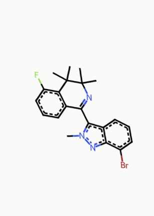 Cn1nc2c(Br)cccc2c1C1=NC(C)(C)C(C)(C)c2c(F)cccc21